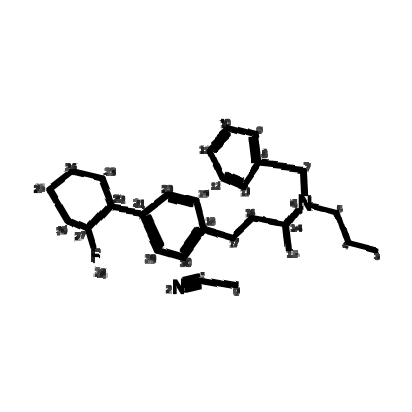 CC#N.CCCN(Cc1ccccc1)C(C)CCc1ccc(C2CCCCC2F)cc1